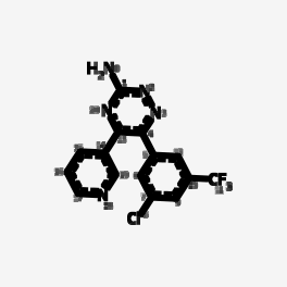 Nc1nnc(-c2cc(Cl)cc(C(F)(F)F)c2)c(-c2cccnc2)n1